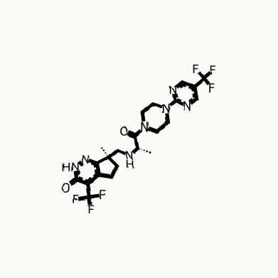 C[C@H](NC[C@@]1(C)CCc2c1n[nH]c(=O)c2C(F)(F)F)C(=O)N1CCN(c2ncc(C(F)(F)F)cn2)CC1